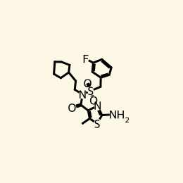 Cc1sc(N)nc1C(=O)N(CCC1CCCCC1)S(=O)(=O)Cc1cccc(F)c1